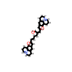 O=CC(=Cc1cc2cc3c4c(c2o1)CCCN4CCC3)CC/C=C/C1=CC2C=C3CCCN4CCCC(=C34)C2O1